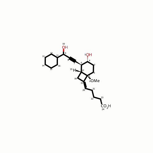 CO[C@]12CC[C@@H](O)[C@H](C#CC(O)C3CCCCC3)[C@H]1C/C2=C/CCCC(=O)O